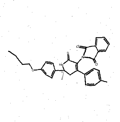 CCCCOc1ccc([C@]2(C)CC(c3ccc(C)cc3)=C(N3C(=O)c4ccccc4C3=O)C(=O)N2)cc1